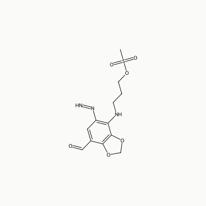 CS(=O)(=O)OCCCNc1c(N=N)cc(C=O)c2c1OCO2